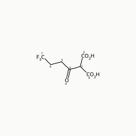 O=C(O)C(C(=O)O)C(=O)CCC(F)(F)F